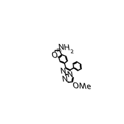 COc1cnc2nc(-c3ccc4c(c3)OC[C@@H]4N)c(-c3ccccc3)n2c1